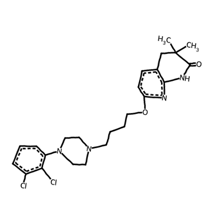 CC1(C)Cc2ccc(OCCCCN3CCN(c4cccc(Cl)c4Cl)CC3)nc2NC1=O